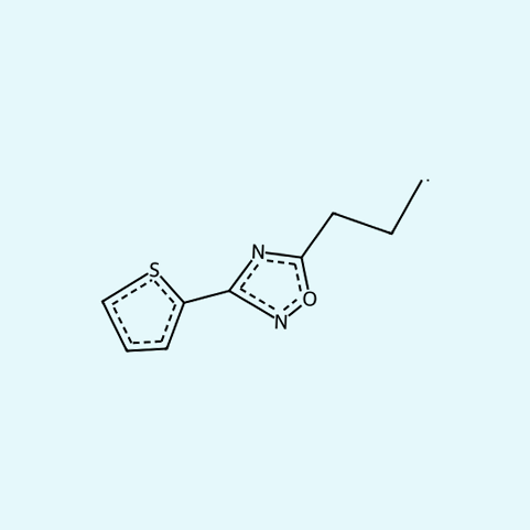 [CH2]CCc1nc(-c2cccs2)no1